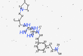 CC(CCN1CCCC1)CNC(=N)NC(=N)N(C)CCc1cccc(CCN(C)C)c1